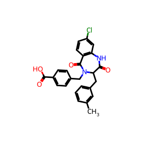 Cc1cccc(CC2C(=O)Nc3cc(Cl)ccc3C(=O)N2Cc2ccc(C(=O)O)cc2)c1